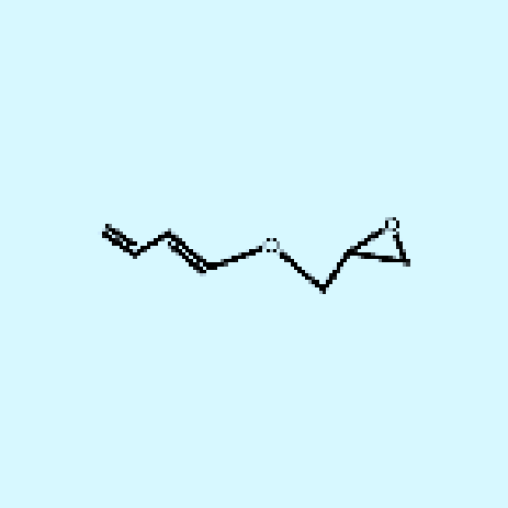 C=CC=COCC1CO1